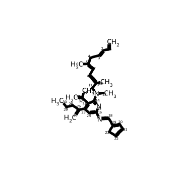 C=C/C=C/C/C(C)=C/C=C(\C)CN(C)c1nc(/N=C/C2=CC=CC2)cc(C(=C)CCC)c1C(=C)C